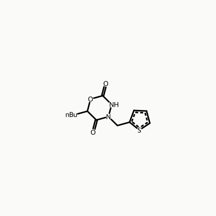 CCCCC1OC(=O)NN(Cc2cccs2)C1=O